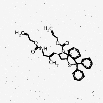 C=CCOC(=O)NC/C(C)=C/[C@@H]1C[C@H](SC(c2ccccc2)(c2ccccc2)c2ccccc2)CN1C(=O)OCC=C